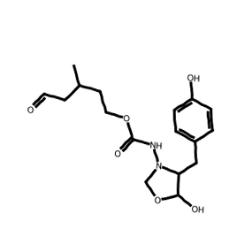 CC(CC=O)CCOC(=O)NN1COC(O)C1Cc1ccc(O)cc1